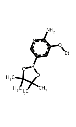 CCOc1cc(B2OC(C)(C)C(C)(C)O2)cnc1N